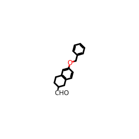 O=CC1CCc2cc(OCc3ccccc3)ccc2C1